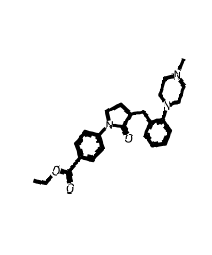 CCOC(=O)c1ccc(N2CCC(Cc3ccccc3N3CCN(C)CC3)C2=O)cc1